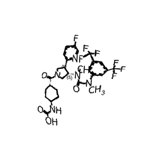 CN(C(=O)N(C)[C@@H]1CN(C(=O)[C@H]2CC[C@H](NC(=O)O)CC2)C[C@H]1c1ccc(F)cn1)c1cc(C(F)(F)F)cc(C(F)(F)F)c1